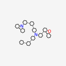 c1ccc(-c2cccc(-c3ccc(N(c4ccc(-c5cccc(-c6cccc(-n7c8ccccc8c8ccccc87)c6)c5)cc4)c4cccc(-c5cccc6oc7ccccc7c56)c4)cc3)c2)cc1